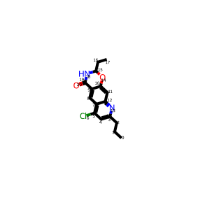 CCCc1cc(Cl)c2cc3c(cc2n1)OC(CC)NC3=O